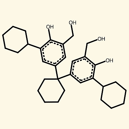 OCc1cc(C2(c3cc(CO)c(O)c(C4CCCCC4)c3)CCCCC2)cc(C2CCCCC2)c1O